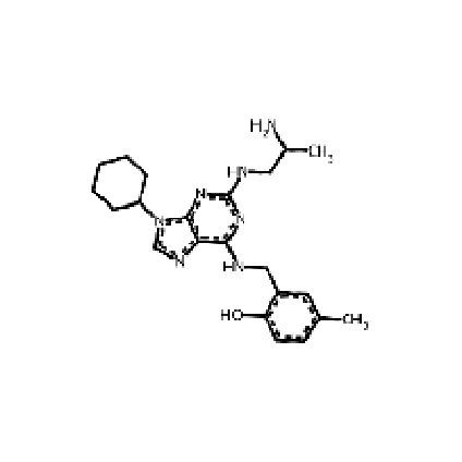 Cc1ccc(O)c(CNc2nc(NCC(C)N)nc3c2ncn3C2CCCCC2)c1